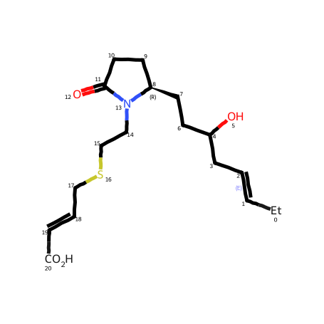 CC/C=C/CC(O)CC[C@@H]1CCC(=O)N1CCSCC=CC(=O)O